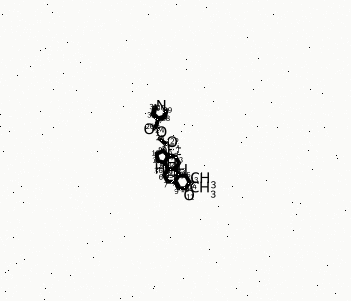 CC[C@]12CC[C@H]3[C@@H](CCC4=CC(=O)C(C)(C)C[C@@H]43)[C@@H]1CC[C@@H]2C(=O)COC(=O)c1ccncc1